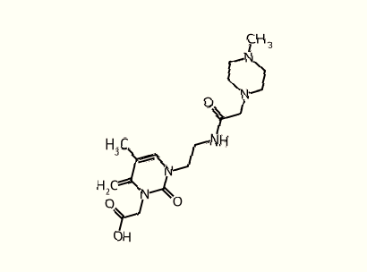 C=C1C(C)=CN(CCNC(=O)CN2CCN(C)CC2)C(=O)N1CC(=O)O